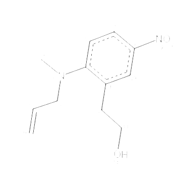 C=CCN(C)c1ccc([N+](=O)[O-])cc1CCO